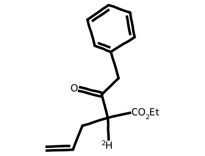 [2H]C(CC=C)(C(=O)Cc1ccccc1)C(=O)OCC